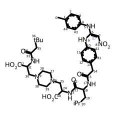 Cc1ccc(N/C(=C/[N+](=O)[O-])Nc2ccc(CC(=O)NC(CC(C)C)C(=O)NC(CN3CCN(CC(NC(=O)CC(C)(C)C)C(=O)O)CC3)C(=O)O)cc2)cc1